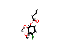 CCCC(=O)Oc1ccc(F)c(OC)c1OC